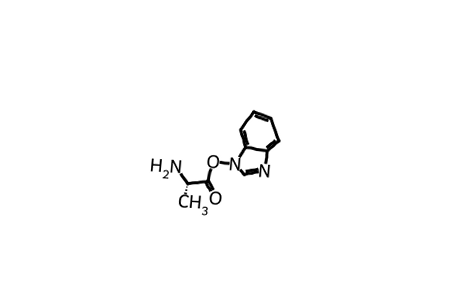 C[C@H](N)C(=O)On1cnc2ccccc21